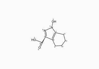 O=C(O)c1nn(O)c2c1CCCC2